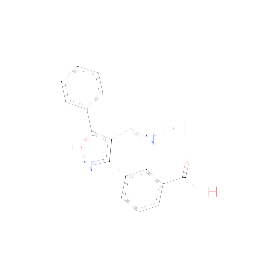 O=C(O)c1cccc(-c2noc(-c3ccccc3)c2C=NO)c1